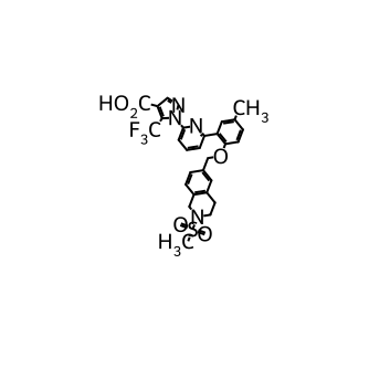 Cc1ccc(OCc2ccc3c(c2)CCN(S(C)(=O)=O)C3)c(-c2cccc(-n3ncc(C(=O)O)c3C(F)(F)F)n2)c1